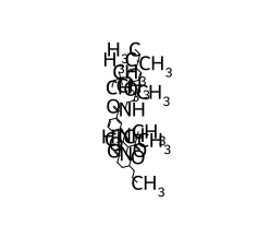 CCCC1CCC(=O)N(C(C(=O)Nc2cc(C(=O)NCCC(C)Oc3ccc(C(C)(C)CC)cc3C(C)(C)CC)ccc2Cl)C(=O)C(C)(C)C)C1=O